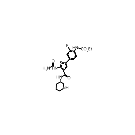 CCOC(=O)Nc1ccc(-c2cc(C(=O)N[C@H]3CCCNC3)c(NC(N)=O)s2)cc1F